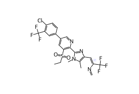 C=N/C(=C\c1nc(-c2ncc(-c3ccc(Cl)c(C(F)(F)F)c3)cc2S(=O)(=O)CC)n(C)c1C)C(F)(F)F